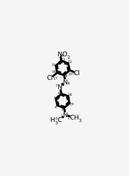 CN(C)c1ccc(N=Nc2c(Cl)cc([N+](=O)[O-])cc2Cl)cc1